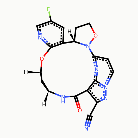 N#Cc1nn2ccc3nc2c1C(=O)N[C@H]1C[C@H](C1)Oc1ncc(F)cc1[C@@H]1CCON31